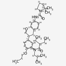 CCCOc1ccc(C(C=O)Cc2ccc(NC(=O)N3CCSC3(C)C)cc2)cc1N(CC(C)C)C(=O)C(CC)CC